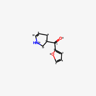 O=C(c1ccco1)C1CC=CNC1